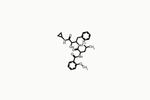 COc1ccccc1C(=O)NC(CC(C)C)C(=O)NC(Cc1ccccc1)C(O)C(=O)NC1CC1